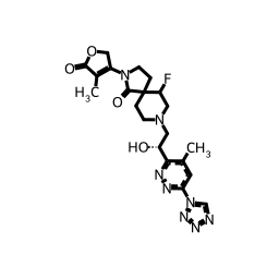 CC1=C(N2CCC3(CCN(C[C@@H](O)c4nnc(-n5cnnn5)cc4C)CC3F)C2=O)COC1=O